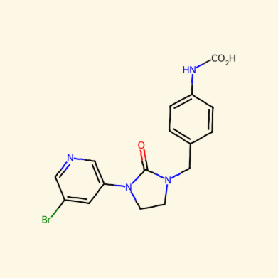 O=C(O)Nc1ccc(CN2CCN(c3cncc(Br)c3)C2=O)cc1